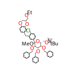 CCOCC1COc2ccc(Cc3cc([C@]4(OC)O[C@H](CO[Si](C)(C)C(C)(C)C)[C@@H](OCc5ccccc5)[C@H](OCc5ccccc5)[C@H]4OCc4ccccc4)ccc3Cl)cc2O1